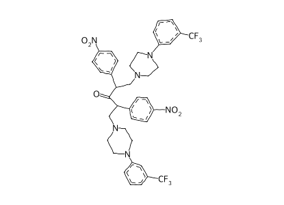 O=C(C(CN1CCN(c2cccc(C(F)(F)F)c2)CC1)c1ccc([N+](=O)[O-])cc1)C(CN1CCN(c2cccc(C(F)(F)F)c2)CC1)c1ccc([N+](=O)[O-])cc1